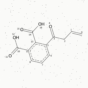 C=CCC(=O)c1cccc(C(=O)O)c1C(=O)O